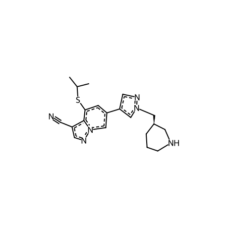 CC(C)Sc1cc(-c2cnn(C[C@@H]3CCCNC3)c2)cn2ncc(C#N)c12